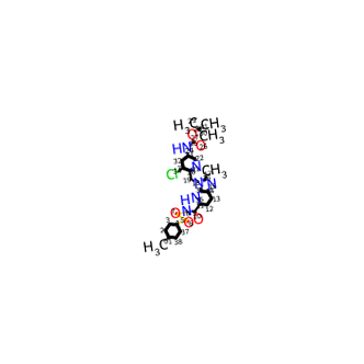 Cc1ccc(S(=O)(=O)NC(=O)c2ccc3nc(C)n(Cc4ncc(NC(=O)OC(C)(C)C)cc4Cl)c3n2)cc1